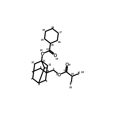 O=C(OCC12CC3CC(C1)CC(OC(=O)C1CCCCC1)(C3)C2)C(F)F